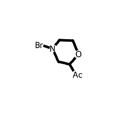 CC(=O)C1CN(Br)CCO1